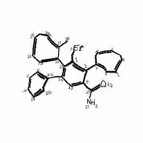 CCc1c(-c2ccccc2)c(C(N)=O)cc(-c2ccccc2)c1-c1ccccc1C